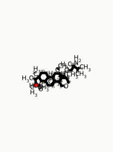 COC1C[C@@]23COC[C@@](C)([C@@H]2CC[C@H]2C3=CC[C@@]3(C)[C@H](C(=O)O)[C@@](C)([C@H](C)C(C)C)CC[C@]23C)[C@H]1OC[C@](C)(N)C(C)C